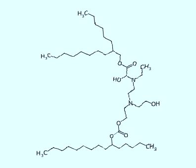 CCCCCCCCCC(CCCCC)OC(=O)OCCN(CCO)CCN(CC)C(O)C(=O)OCC(CCCCCC)CCCCCCCC